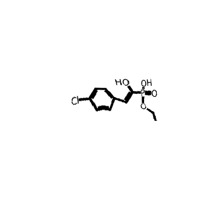 CCOP(=O)(O)C(O)=Cc1ccc(Cl)cc1